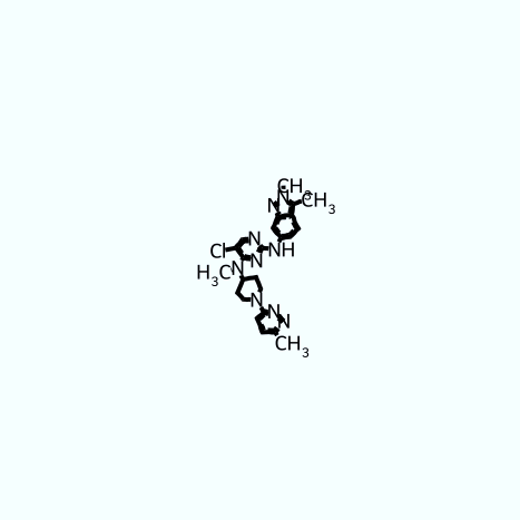 Cc1ccc(N2CCC(N(C)c3nc(Nc4ccc5c(C)n(C)nc5c4)ncc3Cl)CC2)nn1